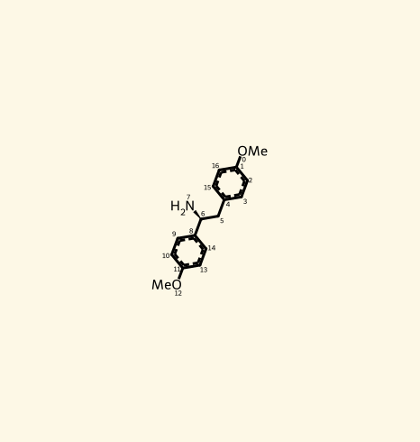 COc1ccc(C[C@H](N)c2ccc(OC)cc2)cc1